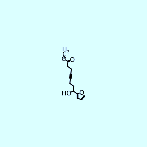 COC(=O)CCC#CCCC(O)c1ccco1